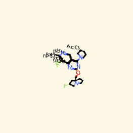 CCC[CH2][Sn]([CH2]CCC)([CH2]CCC)[c]1ncc2c(N3CCC[C@H](OC(C)=O)C3)nc(OC[C@@]34CCCN3C[C@H](F)C4)nc2c1F